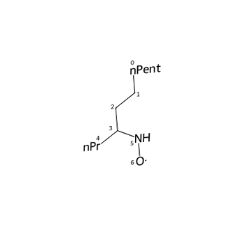 CCCCCCCC(CCC)N[O]